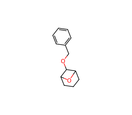 c1ccc(COC2C3CCCC2O3)cc1